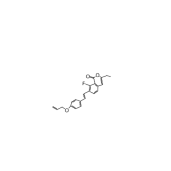 C=CCOc1ccc(/C=C/c2ccc3cc(CC)oc(=O)c3c2F)cc1